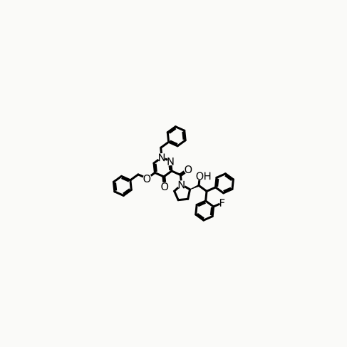 O=C(c1nn(Cc2ccccc2)cc(OCc2ccccc2)c1=O)N1CCC[C@@H]1C(O)C(c1ccccc1)c1ccccc1F